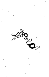 O=C(Cc1ccc(S)cc1)NCc1ccc2c(c1)C(=O)N(C1CCC(=O)NC1=O)C2=O